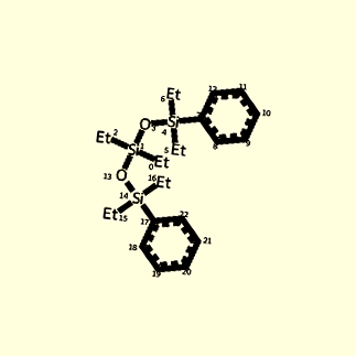 CC[Si](CC)(O[Si](CC)(CC)c1ccccc1)O[Si](CC)(CC)c1ccccc1